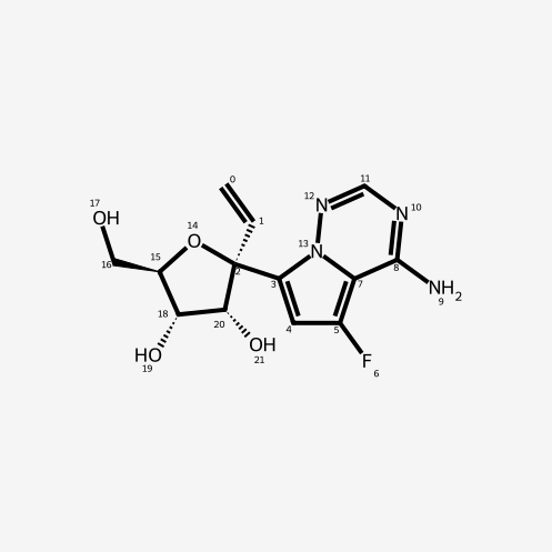 C=C[C@@]1(c2cc(F)c3c(N)ncnn23)O[C@H](CO)[C@@H](O)[C@H]1O